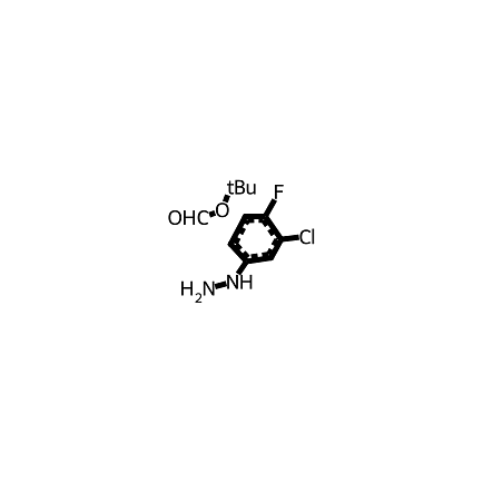 CC(C)(C)OC=O.NNc1ccc(F)c(Cl)c1